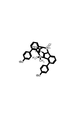 CCCCCCC1=C2c3c(-c4ccc(C(C)(C)C)cc4)cccc3[CH]1[Zr+2][CH]1C(CCCCCC)=C(c3c(-c4ccc(C(C)(C)C)cc4)cccc31)[Si]2(C)C.[Cl-].[Cl-]